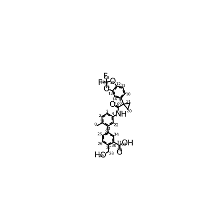 Cc1ccc(NC(=O)C2(c3ccc4c(c3)OC(F)(F)O4)CC2)cc1-c1ccc(CO)c(C(=O)O)c1